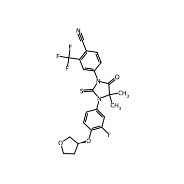 CC1(C)C(=O)N(c2ccc(C#N)c(C(F)(F)F)c2)C(=S)N1c1ccc(O[C@H]2CCOC2)c(F)c1